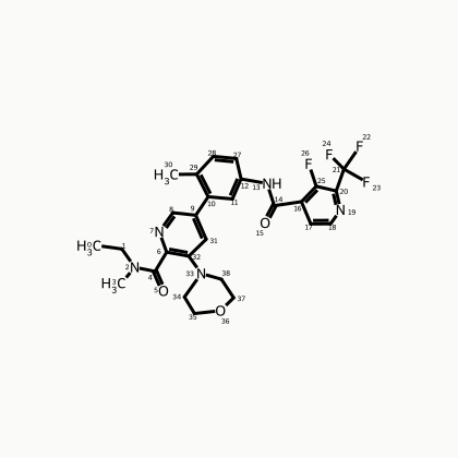 CCN(C)C(=O)c1ncc(-c2cc(NC(=O)c3ccnc(C(F)(F)F)c3F)ccc2C)cc1N1CCOCC1